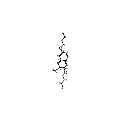 CCCCOc1ccc2cc(OCCCC)c(OC)cc2c1